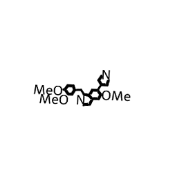 COc1ccc(Cc2nccc3cc(OC)c(-c4ccncc4)cc23)cc1OC